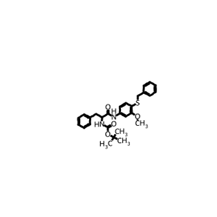 COc1cc(NC(=O)C(Cc2ccccc2)NC(=O)OC(C)(C)C)ccc1SCc1ccccc1